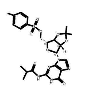 Cc1ccc(S(=O)(=O)OC[C@H]2O[C@@H](n3cnc4c(=O)[nH]c(NC(=O)C(C)C)nc43)[C@H]3OC(C)(C)OC23)cc1